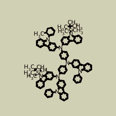 CC1CC=CC=C1n1c2ccccc2c2ccc(N(c3ccc(N(c4ccc(N(c5ccc6c(c5)c5ccccc5n6[Si](C)(C)C(C)(C)C)c5ccc6c7ccccc7n(-c7ccccc7)c6c5)cc4)c4ccc5c6ccccc6n(-c6ccccc6)c5c4)cc3)c3ccc4c(c3)c3ccccc3n4[Si](C)(C)C(C)(C)C)cc21